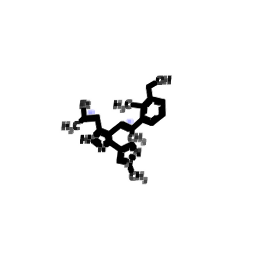 CC/C(C)=C/c1[nH]nc(-c2cnn(C)c2)c1/C=C(\C)c1cccc(CO)c1C